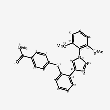 COC(=O)c1ccc(Sc2ccccc2-c2cn(-c3c(OC)cccc3OC)nn2)cc1